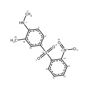 CNc1ccc(S(=O)(=O)c2ccccc2[N+](=O)[O-])cc1C